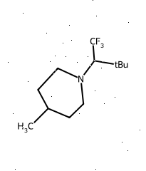 CC1CCN(C(C(C)(C)C)C(F)(F)F)CC1